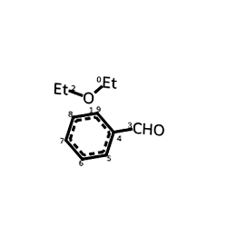 CCOCC.O=Cc1ccccc1